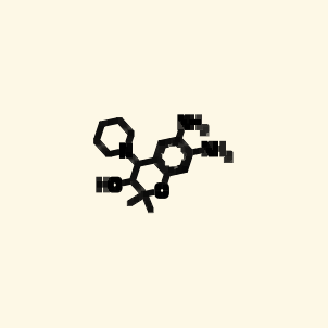 CC1(C)Oc2cc(N)c(N)cc2C(N2CCCCC2)C1O